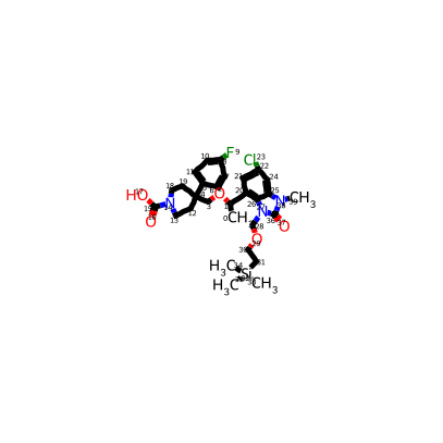 CC(OCC1(c2ccc(F)cc2)CCN(C(=O)O)CC1)c1cc(Cl)cc2c1n(COCC[Si](C)(C)C)c(=O)n2C